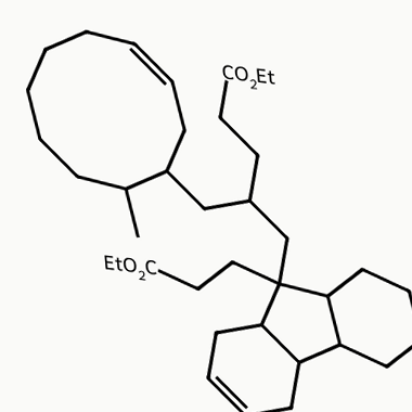 CCOC(=O)CCC(CC1C/C=C\CCCCCC1C)CC1(CCC(=O)OCC)C2CC=CCC2C2CCCCC21